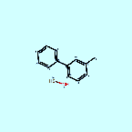 Cc1cccc(-c2cc[c]cc2)c1.OS